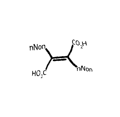 CCCCCCCCCC(C(=O)O)=C(CCCCCCCCC)C(=O)O